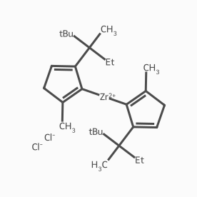 CCC(C)(C1=CCC(C)=[C]1[Zr+2][C]1=C(C)CC=C1C(C)(CC)C(C)(C)C)C(C)(C)C.[Cl-].[Cl-]